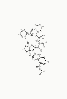 CCC[C@H](NC(=O)[C@@H]1[C@H]2CCC[C@H]2CN1C(=O)[C@@H](NC(=O)[C@H](NC(=O)c1cnccn1)C1CCCCC1)C(C)(C)C)C(=O)C(=O)NC1CC1